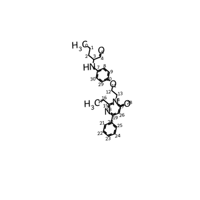 CCCC(C=O)Nc1ccc(OCCn2c(CC)nc(-c3ccccc3)cc2=O)cc1